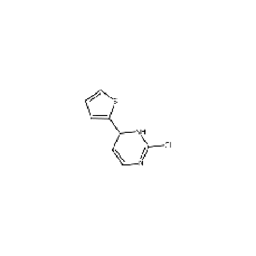 ClC1=NC=CC(c2cccs2)N1